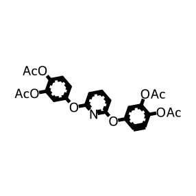 CC(=O)Oc1c#cc(Oc2cccc(Oc3ccc(OC(C)=O)c(OC(C)=O)c3)n2)cc1OC(C)=O